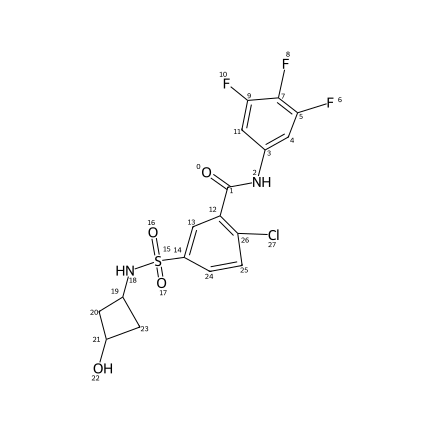 O=C(Nc1cc(F)c(F)c(F)c1)c1cc(S(=O)(=O)NC2CC(O)C2)ccc1Cl